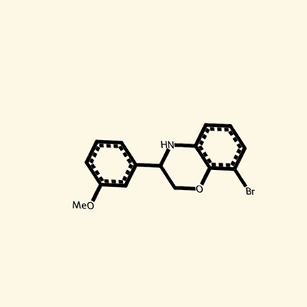 COc1cccc(C2COc3c(Br)cccc3N2)c1